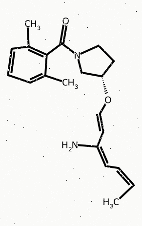 C\C=C/C=C(N)\C=C\O[C@H]1CCN(C(=O)c2c(C)cccc2C)C1